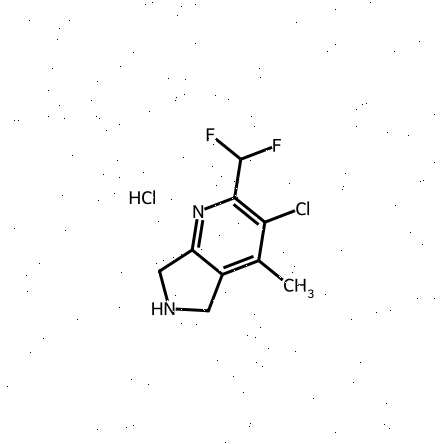 Cc1c(Cl)c(C(F)F)nc2c1CNC2.Cl